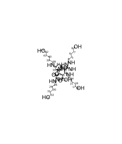 N=C(NNCCCCCO)c1c(NCCCCCO)c(C(=O)O)c(C(=O)NNCCCCCO)c2c3c(NCCCCCO)cc(c(=O)[nH]c3=O)c12